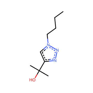 CCCCn1cc(C(C)(C)O)nn1